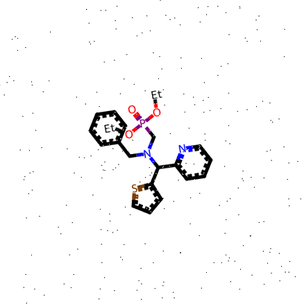 CCOP(=O)(CN(Cc1ccccc1)C(c1ccccn1)c1cccs1)OCC